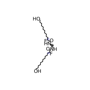 O=C(N[C@H]1C[C@H]1NC(=O)/C(F)=C/CCCCCCCCCCO)/C(F)=C/CCCCCCCCCCO